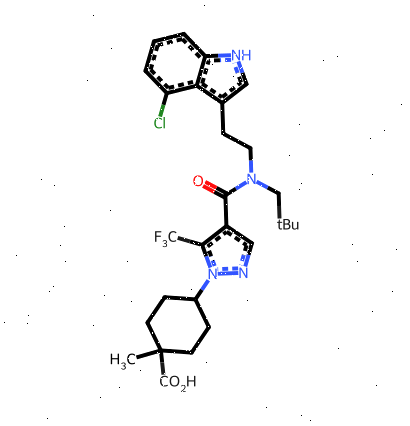 CC(C)(C)CN(CCc1c[nH]c2cccc(Cl)c12)C(=O)c1cnn(C2CCC(C)(C(=O)O)CC2)c1C(F)(F)F